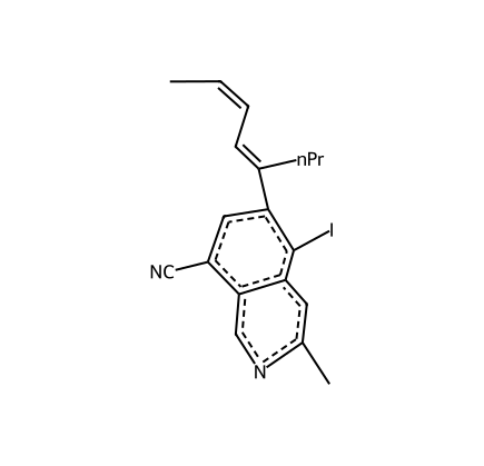 C/C=C\C=C(/CCC)c1cc(C#N)c2cnc(C)cc2c1I